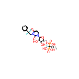 CC(F)(P(=O)(O)O)P(=O)(O)OC[C@H]1O[C@@H](n2ccc(=O)n(CC(F)(F)c3ccccc3)c2=O)[C@@H](O)[C@H]1O